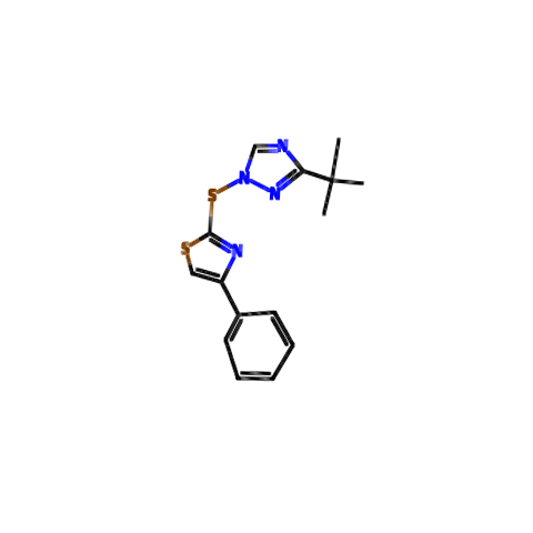 CC(C)(C)c1ncn(Sc2nc(-c3ccccc3)cs2)n1